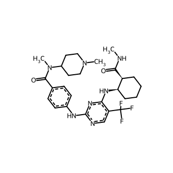 CNC(=O)[C@H]1CCCC[C@H]1Nc1nc(Nc2ccc(C(=O)N(C)C3CCN(C)CC3)cc2)ncc1C(F)(F)F